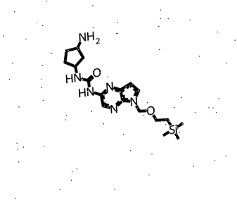 C[Si](C)(C)CCOCn1ccc2nc(NC(=O)NC3CCC(N)C3)cnc21